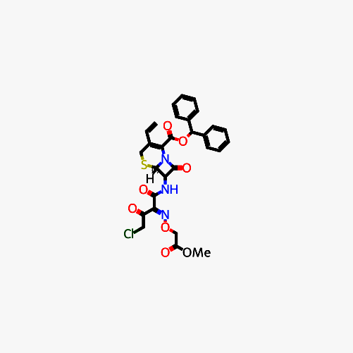 C=CC1=C(C(=O)OC(c2ccccc2)c2ccccc2)N2C(=O)C(NC(=O)C(=NOCC(=O)OC)C(=O)CCl)[C@@H]2SC1